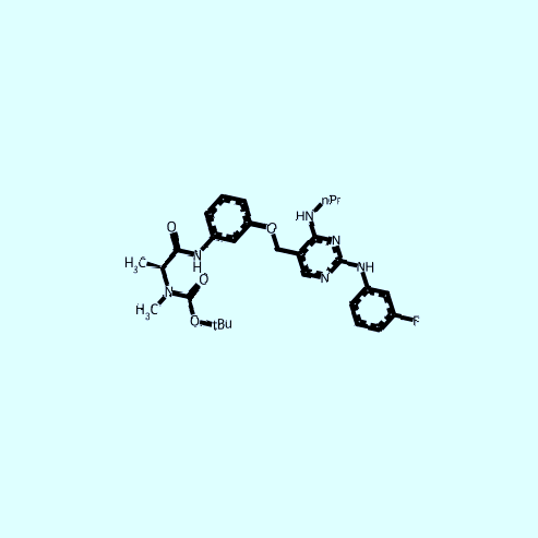 CCCNc1nc(Nc2cccc(F)c2)ncc1COc1cccc(NC(=O)[C@H](C)N(C)C(=O)OC(C)(C)C)c1